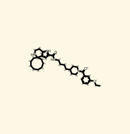 CCOc1cccc(C(=O)N2CCC(CCCCNC(=O)c3cc4c([nH]3)CCNC43CCCCCCCC3)CC2)c1